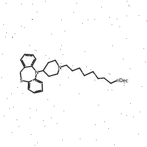 CCCCCCCCCCCCCCCCCCN1CCC(N2c3ccccc3CSc3ccccc32)CC1